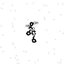 Cc1[nH]c2ccc(O)cc2c1C(=O)N(Cc1ccccc1)C1CCCN(CCc2ccccc2)CC1